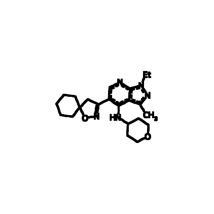 CCn1nc(C)c2c(NC3CCOCC3)c(C3=NOC4(CCCCC4)C3)cnc21